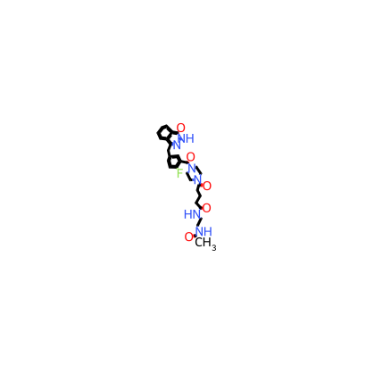 CC(=O)NCCNC(=O)CCCC(=O)N1CCN(C(=O)c2cc(Cc3n[nH]c(=O)c4ccccc34)ccc2F)CC1